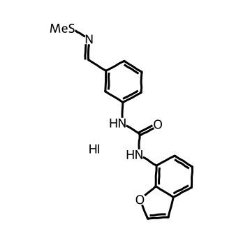 CSN=Cc1cccc(NC(=O)Nc2cccc3ccoc23)c1.I